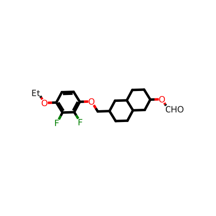 CCOc1ccc(OCC2CCC3CC(OC=O)CCC3C2)c(F)c1F